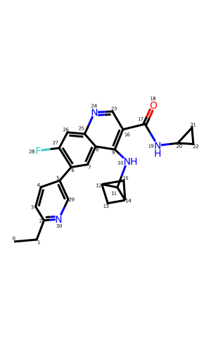 CCc1ccc(-c2cc3c(NC4C5CC4C5)c(C(=O)NC4CC4)cnc3cc2F)cn1